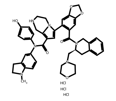 CN1CCc2cc(N(C(=O)c3cc(-c4cc5c(cc4C(=O)N4Cc6ccccc6C[C@H]4CN4CCOCC4)OCO5)n4c3CNCC4)c3ccc(O)cc3)ccc21.Cl.Cl.Cl